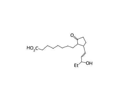 CCC(O)/C=C/C1CCC(=O)C1CCCCCCCC(=O)O